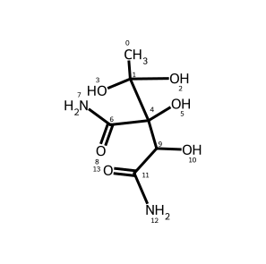 CC(O)(O)C(O)(C(N)=O)C(O)C(N)=O